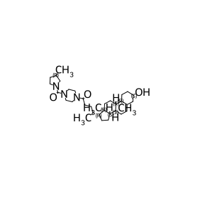 CC(CCC(=O)N1CCN(C(=O)N2CC[C@@H](C)C2)CC1)[C@H]1CC[C@H]2[C@@H]3CC=C4C[C@@H](O)CC[C@]4(C)[C@H]3CC[C@]12C